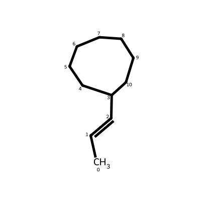 CC=CC1CCCCCCC1